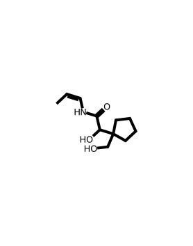 C/C=C\NC(=O)C(O)C1(CO)CCCC1